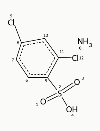 N.O=S(=O)(O)c1ccc(Cl)cc1Cl